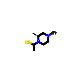 CC(C)N1CCN(C(C)S)[C@H](C)C1